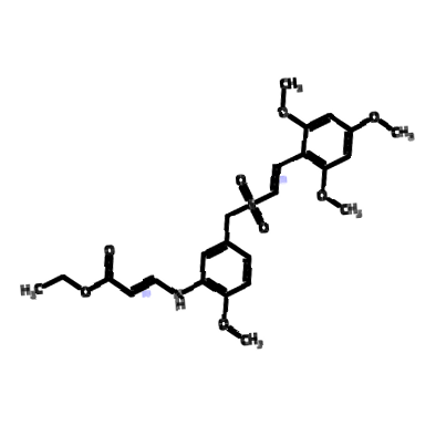 CCOC(=O)/C=C/Nc1cc(CS(=O)(=O)/C=C/c2c(OC)cc(OC)cc2OC)ccc1OC